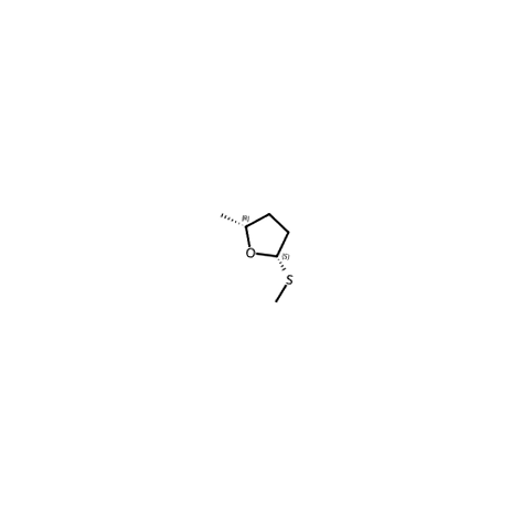 CS[C@H]1CC[C@@H](C)O1